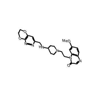 COc1ccc2ncc(=O)n(CCN3CCC(NCc4cc5c(nn4)OCCO5)CC3)c2c1